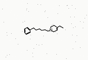 CCC1=CCN(CCCCCCc2ccccc2)CC1